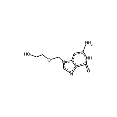 Nc1cc2c(ncn2COCCO)c(=O)[nH]1